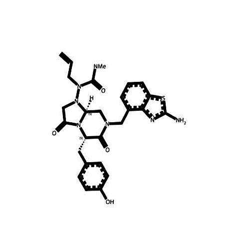 C=CCN(C(=O)NC)N1CC(=O)N2[C@@H](Cc3ccc(O)cc3)C(=O)N(Cc3cccc4sc(N)nc34)C[C@@H]21